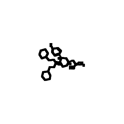 C=C(O)C[C@@H]1CC[C@@H](N(CCC2CCCCC2)CCC2CCCCC2)[C@H](c2ccc(F)cc2)C1